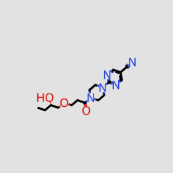 CC[C@H](O)COCCC(=O)N1CCN(c2ncc(C#N)cn2)CC1